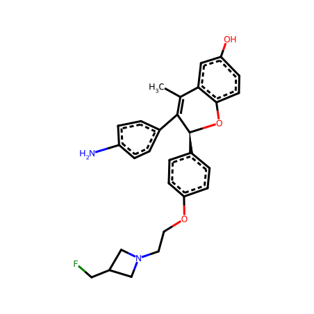 CC1=C(c2ccc(N)cc2)[C@H](c2ccc(OCCN3CC(CF)C3)cc2)Oc2ccc(O)cc21